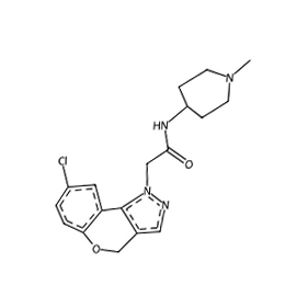 CN1CCC(NC(=O)Cn2ncc3c2-c2cc(Cl)ccc2OC3)CC1